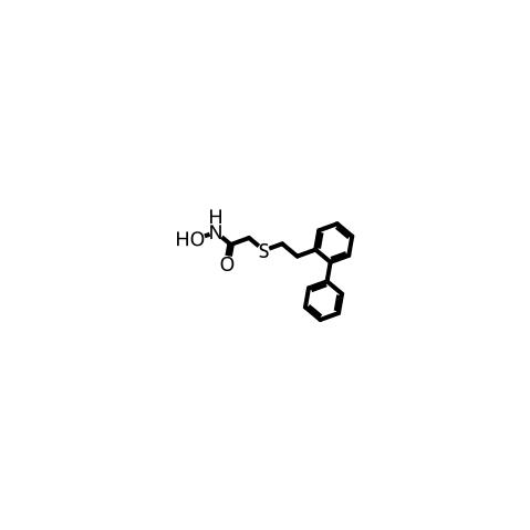 O=C(CSCCc1ccccc1-c1ccccc1)NO